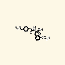 NC[C@H]1CC[C@H](CC(=O)N[C@H]2Cc3cccc(C(=O)O)c3OB2O)CC1